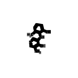 Cc1cccc(O)c1Nc1cncc(N)c1O